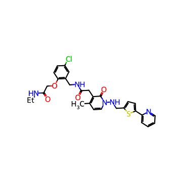 CCNC(=O)COc1ccc(Cl)cc1CNC(=O)Cc1c(C)ccn(NCc2ccc(-c3ccccn3)s2)c1=O